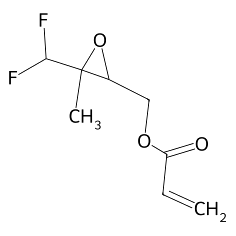 C=CC(=O)OCC1OC1(C)C(F)F